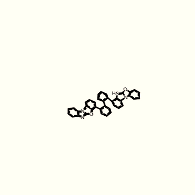 c1ccc2c(c1)OC1=[SH]c3c(-c4ccccc4-c4ccccc4-c4cccc5c4oc4nc6ccccc6n45)cccc3N12